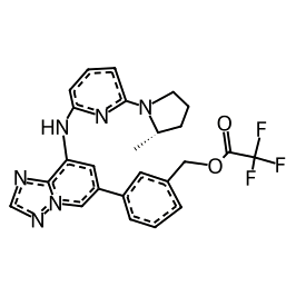 C[C@H]1CCCN1c1cccc(Nc2cc(-c3cccc(COC(=O)C(F)(F)F)c3)cn3ncnc23)n1